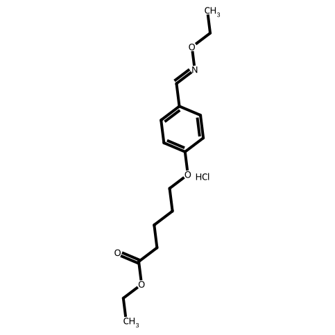 CCON=Cc1ccc(OCCCCC(=O)OCC)cc1.Cl